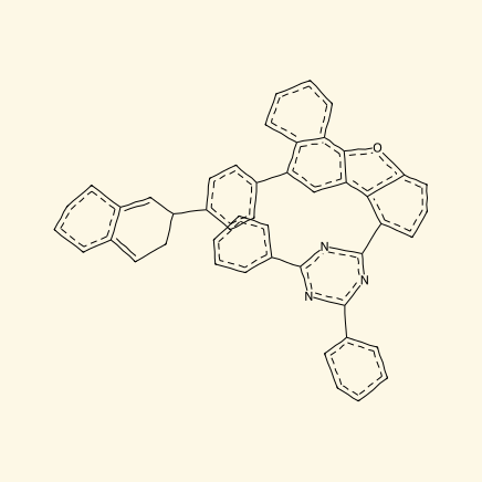 C1=c2ccccc2=CC(c2ccc(-c3cc4c(oc5cccc(-c6nc(-c7ccccc7)nc(-c7ccccc7)n6)c54)c4ccccc34)cc2)C1